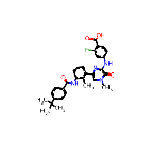 Cc1c(NC(=O)c2ccc(C(C)(C)C)cc2)cccc1-c1cn(C)c(=O)c(Nc2ccc(C(=O)O)c(F)c2)n1